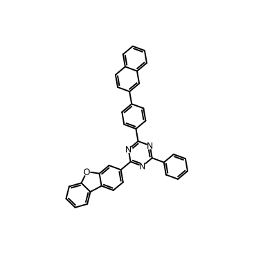 c1ccc(-c2nc(-c3ccc(-c4ccc5ccccc5c4)cc3)nc(-c3ccc4c(c3)oc3ccccc34)n2)cc1